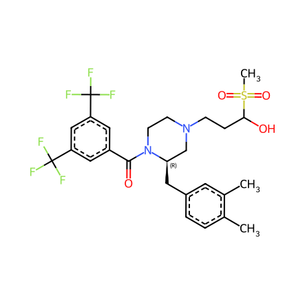 Cc1ccc(C[C@@H]2CN(CCC(O)S(C)(=O)=O)CCN2C(=O)c2cc(C(F)(F)F)cc(C(F)(F)F)c2)cc1C